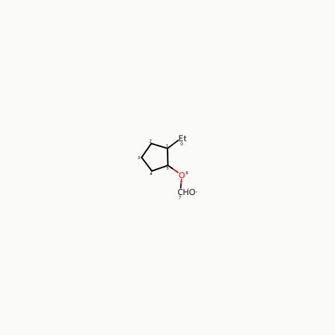 CCC1CCCC1O[C]=O